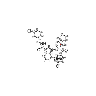 COc1cccc2c(C(=O)NCc3cccc(Cl)c3)cn(CCCN3C4CCC3CC(CC(=O)c3ccc(Cl)cc3)C4)c12